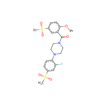 CCS(=O)(=O)c1ccc(OC(C)C)c(C(=O)N2CCN(c3ccc(S(C)(=O)=O)cc3F)CC2)c1